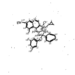 O=S(=O)(NC1CC1)c1cnc2cc(Br)cc(F)c2c1NN1NNC(Oc2cc(F)cc(F)c2)(c2ccccc2)N1